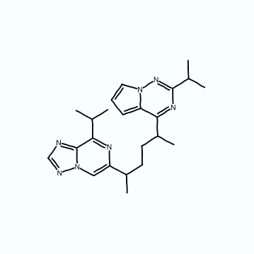 CC(C)c1nc(C(C)CCC(C)c2cn3ncnc3c(C(C)C)n2)c2cccn2n1